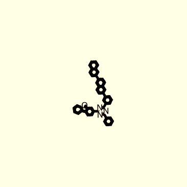 c1ccc(-c2nc(-c3cccc(-c4ccc5cc(-c6ccc7ccccc7c6)ccc5c4)c3)nc(-c3ccc4c(c3)oc3ccccc34)n2)cc1